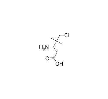 CC(C)(CCl)C(N)CC(=O)O